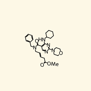 COC(=O)C/C=C/CN(Cc1ccccc1)C(=O)c1cnc(N2CCOCC2)nc1NC1CCCCC1